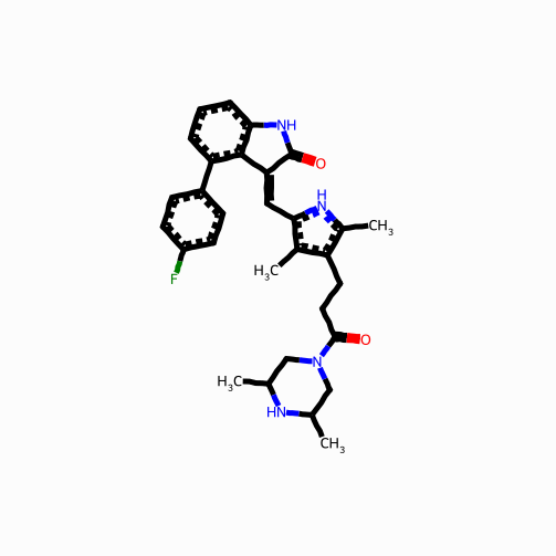 Cc1[nH]c(C=C2C(=O)Nc3cccc(-c4ccc(F)cc4)c32)c(C)c1CCC(=O)N1CC(C)NC(C)C1